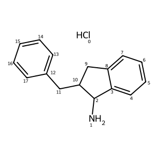 Cl.NC1c2ccccc2CC1Cc1ccccc1